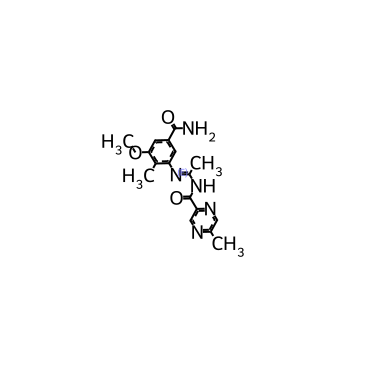 COc1cc(C(N)=O)cc(/N=C(\C)NC(=O)c2cnc(C)cn2)c1C